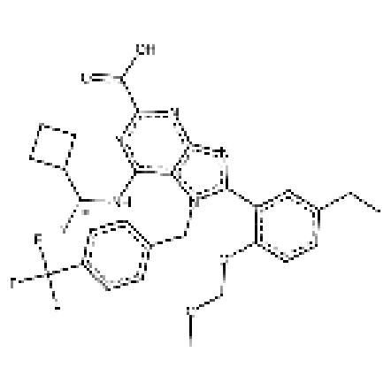 CCc1ccc(OCOC)c(-c2nc3nc(C(=O)O)nc(N[C@H](C)C4CCC4)c3n2Cc2ccc(C(F)(F)F)cc2)c1